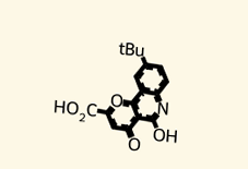 CC(C)(C)c1ccc2nc(O)c3c(=O)cc(C(=O)O)oc3c2c1